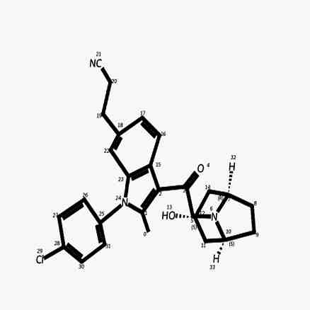 Cc1c(C(=O)CN2[C@@H]3CC[C@H]2C[C@H](O)C3)c2ccc(CCC#N)cc2n1-c1ccc(Cl)cc1